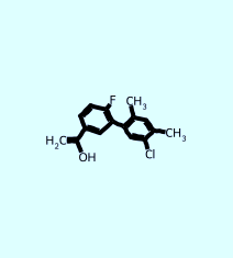 C=C(O)c1ccc(F)c(-c2cc(Cl)c(C)cc2C)c1